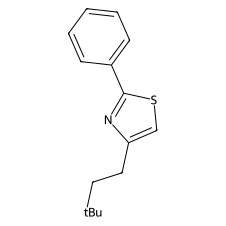 CC(C)(C)CCc1csc(-c2ccccc2)n1